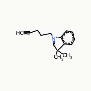 C#CCCC[N+]1=CC(C)(C)c2ccccc21